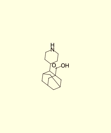 O=C(O)C12CC3CC(CC(C3)C1C1CCNCC1)C2